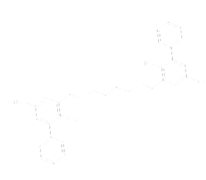 CC(C)(C)c1cc(CSCCCCSCc2cc(C(C)(C)C)cc(-c3ccccc3)c2O)c(O)c(-c2ccccc2)c1